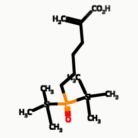 C=C(CCCCP(=O)([Si](C)(C)C)[Si](C)(C)C)C(=O)O